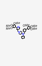 COc1cc(-c2cccc(CN(c3ccccc3)C3CCN(Cc4ccnc(-c5cc(OC)c(OC)c(OC)c5)c4)CC3)c2)cc(OC)c1OC